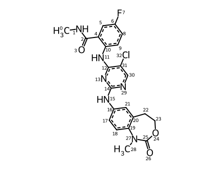 CNC(=O)c1cc(F)ccc1Nc1nc(Nc2ccc3c(c2)CCOC(=O)N3C)ncc1Cl